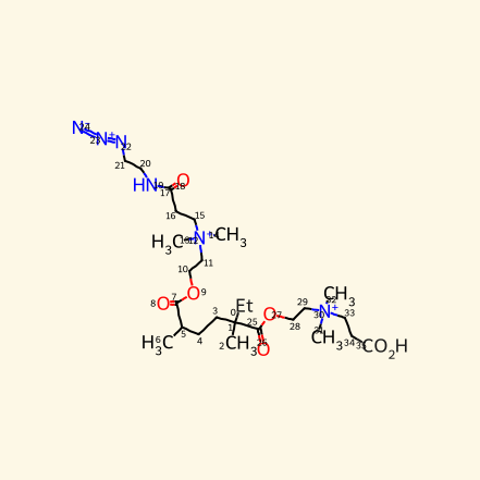 CCC(C)(CCC(C)C(=O)OCC[N+](C)(C)CCC(=O)NCCN=[N+]=[N-])C(=O)OCC[N+](C)(C)CCC(=O)O